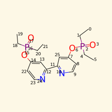 CCP(=O)(CC)Oc1ccnc(-c2cc(OP(=O)(CC)CC)ccn2)c1